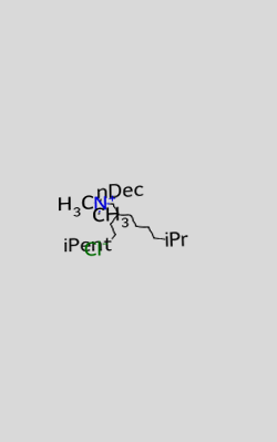 CCCCCCCCCC[N+](C)(C)CC(CCCCC(C)C)CCC(C)CCC.[Cl-]